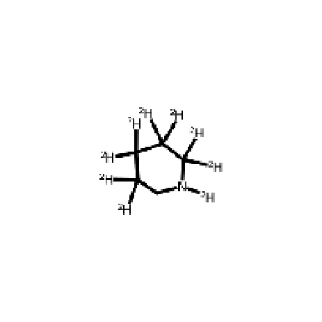 [2H]N1CC([2H])([2H])C([2H])([2H])C([2H])([2H])C1([2H])[2H]